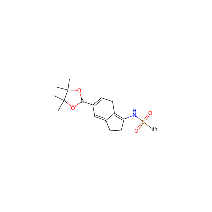 CC(C)S(=O)(=O)NC1=C2CC=C(B3OC(C)(C)C(C)(C)O3)C=C2CC1